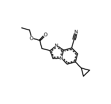 CCOC(=O)Cc1cn2cc(C3CC3)cc(C#N)c2n1